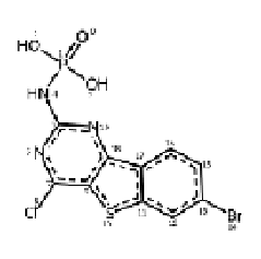 O=P(O)(O)Nc1nc(Cl)c2sc3cc(Br)ccc3c2n1